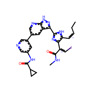 CC/C=C\c1[nH]c(-c2n[nH]c3ncc(-c4cncc(NC(=O)C5CC5)c4)cc23)nc1/C(=C\I)C(=O)NC